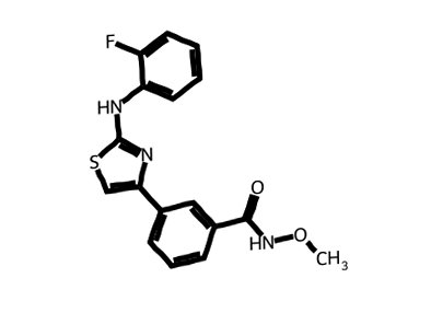 CONC(=O)c1cccc(-c2csc(Nc3ccccc3F)n2)c1